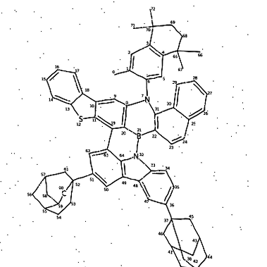 Cc1cc2c(cc1N1c3cc4c(sc5ccccc54)c4c3B(c3ccc5ccccc5c31)n1c3ccc(C56CC7CC(CC(C7)C5)C6)cc3c3cc(C56CCC7CC(CC7C5)C6)cc-4c31)C(C)(C)CCC2(C)C